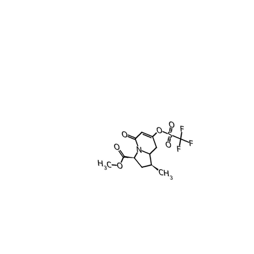 COC(=O)[C@@H]1C[C@H](C)C2CC(OS(=O)(=O)C(F)(F)F)=CC(=O)N21